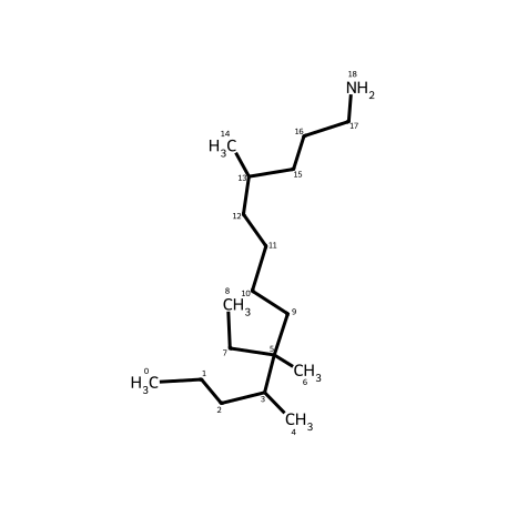 CCCC(C)C(C)(CC)CCCCC(C)CCCN